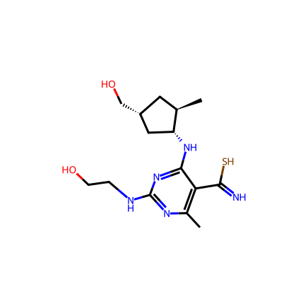 Cc1nc(NCCO)nc(N[C@@H]2C[C@H](CO)C[C@H]2C)c1C(=N)S